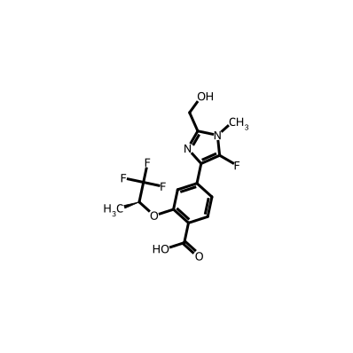 C[C@H](Oc1cc(-c2nc(CO)n(C)c2F)ccc1C(=O)O)C(F)(F)F